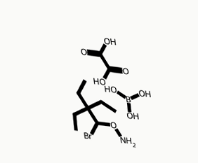 CCC(CC)(CC)C(Br)ON.O=C(O)C(=O)O.OB(O)O